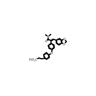 CCOC(=O)CCc1ccc(Oc2ccc(/C(=C\c3ccc4c(c3)OCO4)C(=O)N(C)C)cc2)cc1